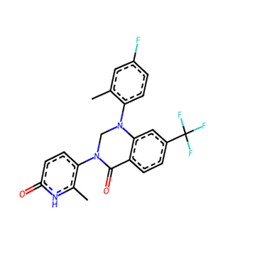 Cc1cc(F)ccc1N1CN(c2ccc(=O)[nH]c2C)C(=O)c2ccc(C(F)(F)F)cc21